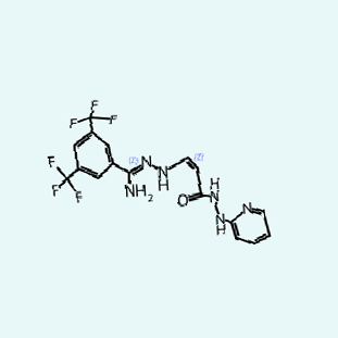 N/C(=N\N/C=C\C(=O)NNc1ccccn1)c1cc(C(F)(F)F)cc(C(F)(F)F)c1